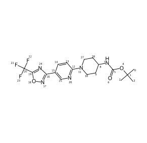 CC(C)(C)OC(=O)NC1CCN(c2ccc(-c3noc(C(F)(F)F)n3)cn2)CC1